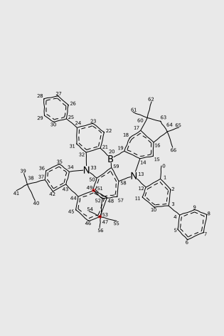 Cc1cc(-c2ccccc2)ccc1N1c2cc3c(cc2B2c4ccc(-c5ccccc5)cc4N(c4ccc(C(C)(C)C)cc4-c4ccccc4)c4cc(C(C)(C)C)cc1c42)C(C)(C)CC3(C)C